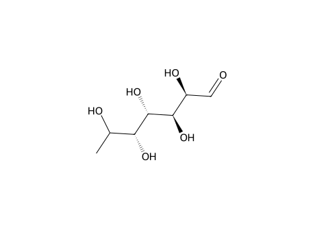 CC(O)[C@@H](O)[C@H](O)[C@H](O)[C@@H](O)C=O